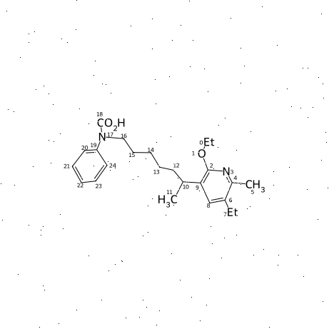 CCOc1nc(C)c(CC)cc1C(C)CCCCCN(C(=O)O)c1ccccc1